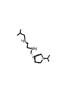 CC(C)CNCCNC[C@H]1CCN(C(C)C)C1